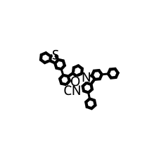 N#Cc1ccc(-c2ccc3sc4ccccc4c3c2)c2c1oc1c(-n3c4ccc(-c5ccccc5)cc4c4cc(-c5ccccc5)ccc43)cccc12